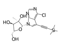 C[C@@]1(O)[C@H](O)[C@@H](CO)O[C@H]1n1cc(C#C[Si](C)(C)C)c2c(Cl)ncnc21